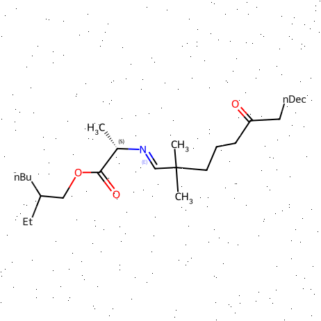 CCCCCCCCCCCC(=O)CCCC(C)(C)/C=N/[C@@H](C)C(=O)OCC(CC)CCCC